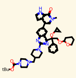 Cn1cc(-c2ccc3nc(N4CCC(CN5CCN(C(=O)OC(C)(C)C)CC5)CC4)nc(C(COC4CCCCO4)(OC4CC4)c4ccccc4)c3c2)c2cc[nH]c2c1=O